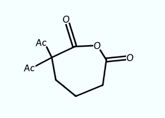 CC(=O)C1(C(C)=O)CCCC(=O)OC1=O